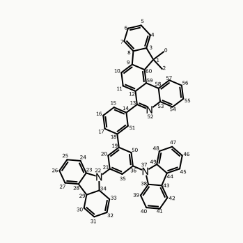 CC1(C)c2ccccc2-c2ccc3c(-c4cccc(-c5cc(N6c7ccccc7C7C=CC=CC76)cc(-n6c7ccccc7c7ccccc76)c5)c4)nc4ccccc4c3c21